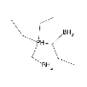 BC[PH](CC)(CC)C(B)CC